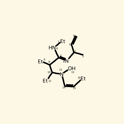 C=CC(C)/N=C(\NCC)C(CC)C(CC)N(O)/C=C\CC